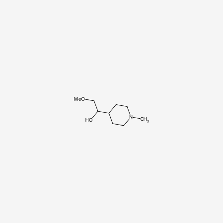 COCC(O)C1CCN(C)CC1